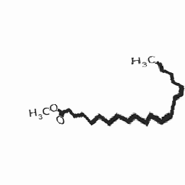 CCCCC/C=C\C/C=C\CCCCCCCCCCCC(=O)OC